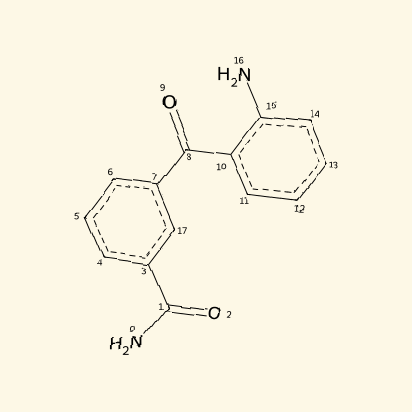 NC(=O)c1cccc(C(=O)c2ccccc2N)c1